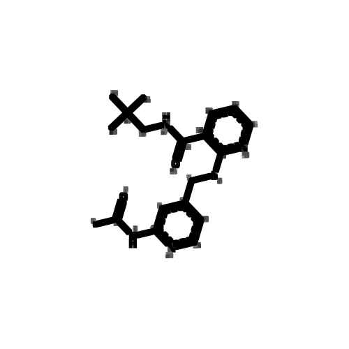 CC(=O)Nc1cc(CSc2ncccc2C(=O)NCC(C)(C)C)ccn1